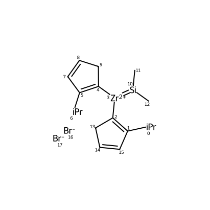 CC(C)C1=[C]([Zr+2]([C]2=C(C(C)C)C=CC2)=[Si](C)C)CC=C1.[Br-].[Br-]